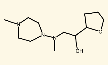 CN1CCN(N(C)CC(O)C2CCCO2)CC1